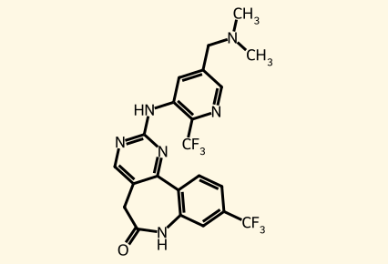 CN(C)Cc1cnc(C(F)(F)F)c(Nc2ncc3c(n2)-c2ccc(C(F)(F)F)cc2NC(=O)C3)c1